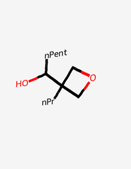 CCCCCC(O)C1(CCC)COC1